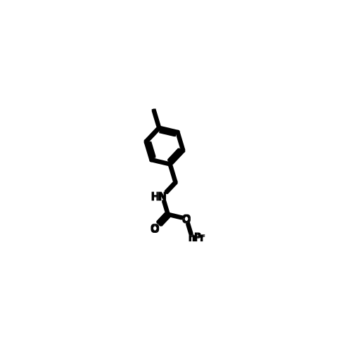 CCCOC(=O)NCc1ccc(C)cc1